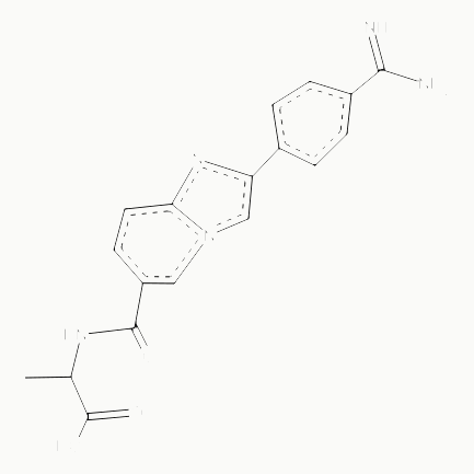 CC(NC(=O)c1ccc2nc(-c3ccc(C(=N)N)cc3)cn2c1)C(=O)O